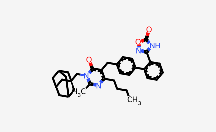 CCCCc1nc(C)n(CC23CC4CC(CC(C4)C2)C3)c(=O)c1Cc1ccc(-c2ccccc2-c2noc(=O)[nH]2)cc1